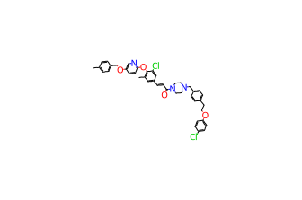 Cc1ccc(COc2ccc(Oc3c(C)cc(/C=C/C(=O)N4CCN(Cc5ccc(CCOc6ccc(Cl)cc6)cc5)CC4)cc3Cl)nc2)cc1